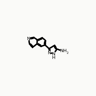 Nc1cc(-c2ccc3cnccc3c2)n[nH]1